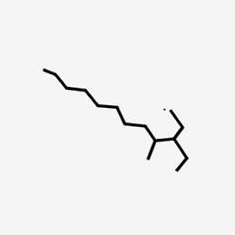 [CH2]CC(CC)C(C)CCCCCCCC